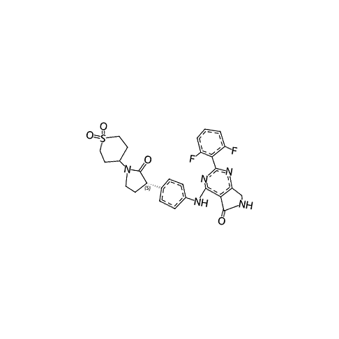 O=C1NCc2nc(-c3c(F)cccc3F)nc(Nc3ccc([C@@H]4CCN(C5CCS(=O)(=O)CC5)C4=O)cc3)c21